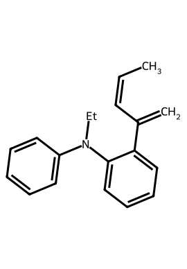 C=C(/C=C\C)c1ccccc1N(CC)c1ccccc1